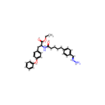 CCOC(=O)C(Cc1ccc(Oc2ccccc2)cc1)NC(=O)CCCCc1ccc(C=NN)cc1